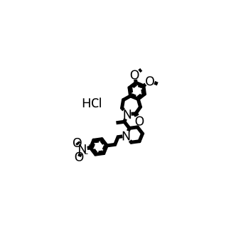 COc1cc2c(cc1OC)CC(=O)N(C(C)C1CCCCN1CCc1ccc([N+](=O)[O-])cc1)CC2.Cl